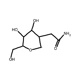 NC(=O)CC1[CH]OC(CO)C(O)C1O